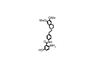 COc1cc2c(cc1OC)CN(CCc1ccc(NC(=O)c3cc(O)ccc3N)cc1)CC2